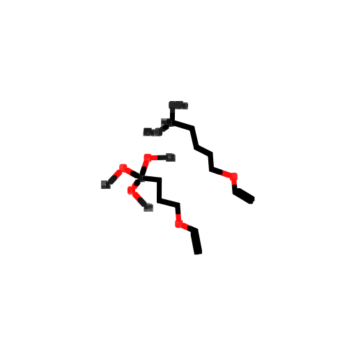 C=COCCCC[SiH](OC)OC.C=COCCC[Si](OCC)(OCC)OCC